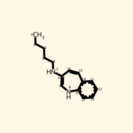 CCCCCNC1=CNc2ccccc2C=C1